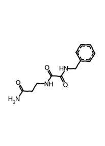 NC(=O)CCNC(=O)C(=O)NCc1ccccc1